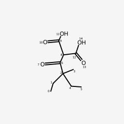 CCC(C)(CC)C(=O)C(C(=O)O)C(=O)O